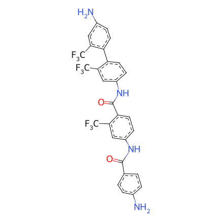 Nc1ccc(C(=O)Nc2ccc(C(=O)Nc3ccc(-c4ccc(N)cc4C(F)(F)F)c(C(F)(F)F)c3)c(C(F)(F)F)c2)cc1